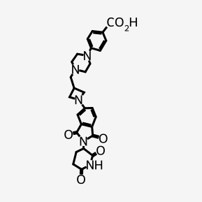 O=C1CCC(N2C(=O)c3ccc(N4CC(CN5CCN(c6ccc(C(=O)O)cc6)CC5)C4)cc3C2=O)C(=O)N1